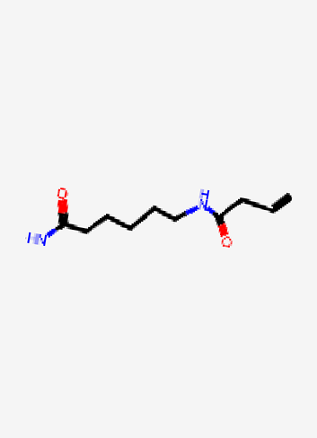 C=CCC(=O)NCCCCCC([NH])=O